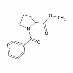 COC(=O)C1C[CH]CN1C(=O)c1ccccc1